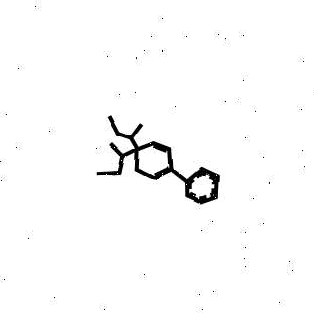 CCC(C)C1(C(C)CC)C=CC(c2ccccc2)=CC1